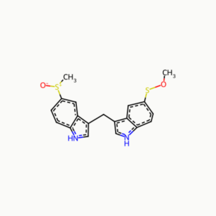 COSc1ccc2[nH]cc(Cc3c[nH]c4ccc([S+](C)[O-])cc34)c2c1